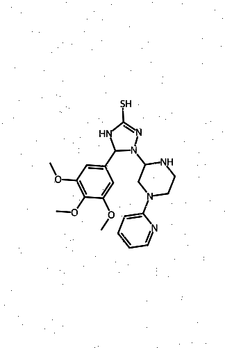 COc1cc(C2NC(S)=NN2C2CN(c3ccccn3)CCN2)cc(OC)c1OC